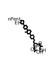 C=C(CO)C(=O)OCC(CCC1CCC(c2ccc(-c3ccc(-c4ccc(CCCCC)c(CC)c4)cc3)c(C)c2)CC1)COC(=O)C(=C)CO